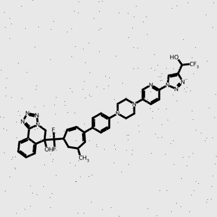 CC1C=C(c2ccc(N3CCN(c4ccc(-n5cc(C(O)C(F)(F)F)nn5)nc4)CC3)cc2)C=CC(C(F)(F)C2(O)Cn3nnnc3-c3ccccc32)C1